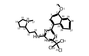 COc1ccc(-c2nc(NCCC3CCCN3C)nc(C(Cl)(Cl)Cl)n2)c2ccccc12